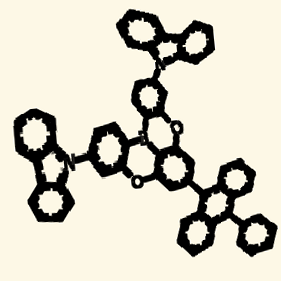 c1ccc(-c2c3ccccc3c(-c3cc4c5c(c3)Oc3cc(-n6c7ccccc7c7ccccc76)ccc3B5c3ccc(-n5c6ccccc6c6ccccc65)cc3O4)c3ccccc23)cc1